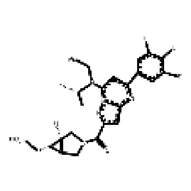 CC(C)CN(c1cc(-c2cc(F)c(Cl)c(F)c2)nc2cc(C(=O)N3CC4[C@H](CC(=O)O)[C@H]4C3)nn12)[C@H](C)C(C)C